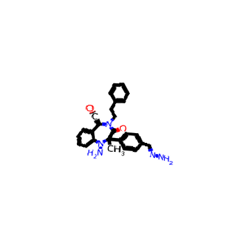 CC1(c2ccc(C=NN)cc2)C(=O)N(CCc2ccccc2)C(=C=O)c2ccccc2N1N